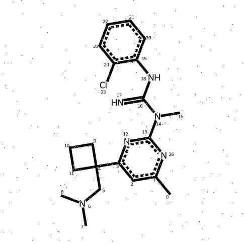 Cc1cc(C2(CN(C)C)CCC2)nc(N(C)C(=N)Nc2ccccc2Cl)n1